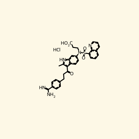 Cc1[nH]c2cc(N(CCC(=O)O)S(=O)(=O)c3cccc4cccnc34)ccc2c1C(=O)CCc1ccc(C(=N)N)cc1.Cl